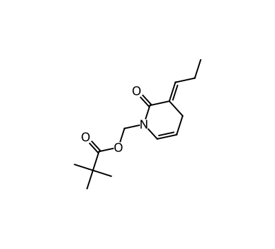 CCC=C1CC=CN(COC(=O)C(C)(C)C)C1=O